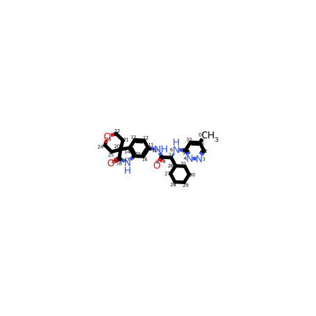 Cc1cnnc(N[C@H](C(=O)Nc2ccc3c(c2)NC(=O)C32CCOCC2)C2CCCCC2)c1